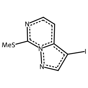 CSc1nccc2c(I)cnn12